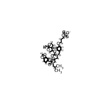 CC(C)CN(C[C@H](O)CN(Cc1ccc(OCCCOS(=O)(=O)[O-])cc1)C(=O)O[C@H]1CO[C@H]2OCC[C@H]21)S(=O)(=O)c1ccc2c(c1)OCO2.[K+]